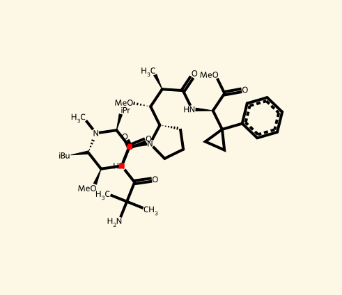 CC[C@H](C)[C@@H]([C@@H](CC(=O)N1CCC[C@H]1[C@H](OC)[C@@H](C)C(=O)N[C@@H](C(=O)OC)C1(c2ccccc2)CC1)OC)N(C)[C@H](C(=O)NC(=O)C(C)(C)N)C(C)C